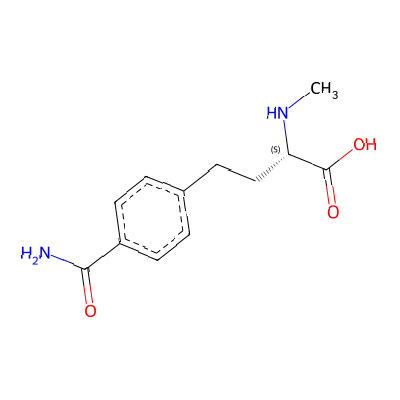 CN[C@@H](CCc1ccc(C(N)=O)cc1)C(=O)O